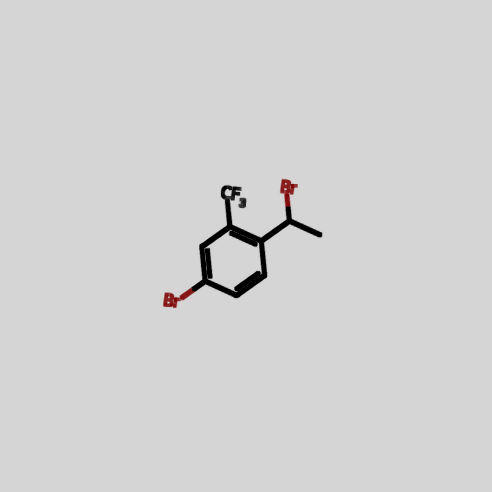 CC(Br)c1ccc(Br)cc1C(F)(F)F